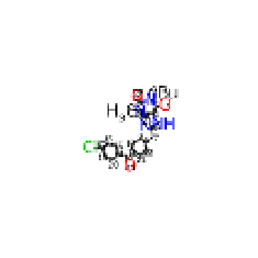 CCCCn1c(=O)c2[nH]c(Cc3ccc(C(=O)c4ccc(Cl)cc4)cc3)nc2n(C)c1=O